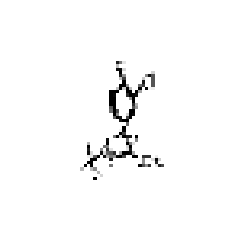 CCC(=S)OC(CNC(C)(C)CC)c1ccc(Cl)c(Cl)c1